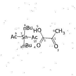 CC(=O)C(=O)O.CCC[CH2][Sn]([CH2]CCC)([C](C)=O)[C](C)=O